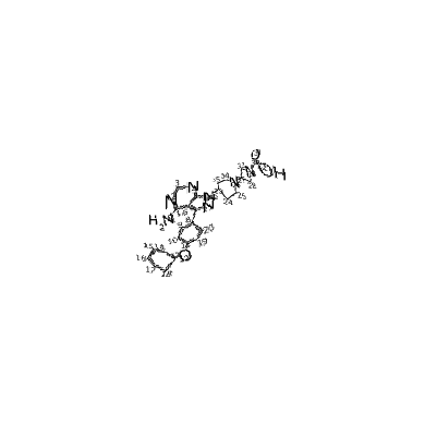 Nc1ncnc2c1c(-c1ccc(Oc3ccccc3)cc1)nn2C1CCN(C2CN(C(=O)O)C2)CC1